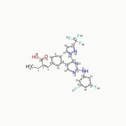 CCC(=Cc1cccc(-c2cnc(Nc3cc(F)cc(F)c3)nc2-n2ccc(C(F)(F)F)n2)c1)C(=O)O